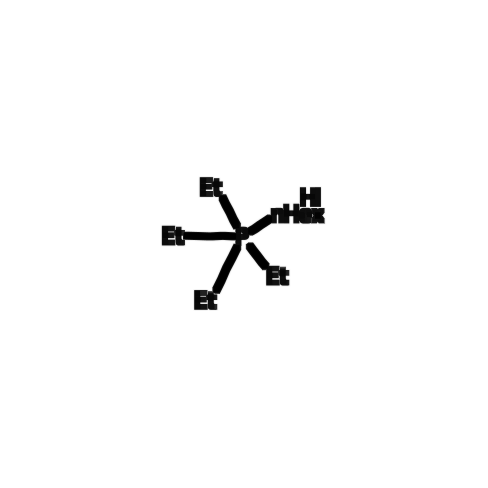 CCCCCCP(CC)(CC)(CC)CC.I